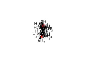 CCCCOc1c([SiH3])cc(C(C)(C)c2cc([SiH](C)C)c(OCCC(C)C)c([SiH](C)C)c2)cc1[SiH](C)C